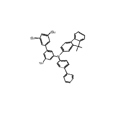 CC(C)(C)c1cc(-c2cc(C(C)(C)C)cc(C(C)(C)C)c2)cc(N(c2ccc(-c3ccccc3)cc2)c2ccc3c(c2)C(C)(C)c2ccccc2-3)c1